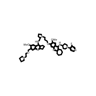 COc1cc2c(NCC3CCCN3CCCOc3cc4nc5c(c(NC6CCN(c7ccncc7F)CC6)c4cc3OC)CCCCC5)c3c(nc2cc1COCCN1CCCC1)CCC3